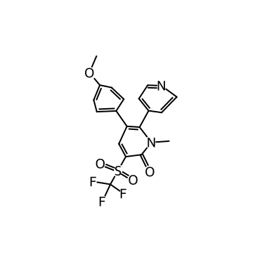 COc1ccc(-c2cc(S(=O)(=O)C(F)(F)F)c(=O)n(C)c2-c2ccncc2)cc1